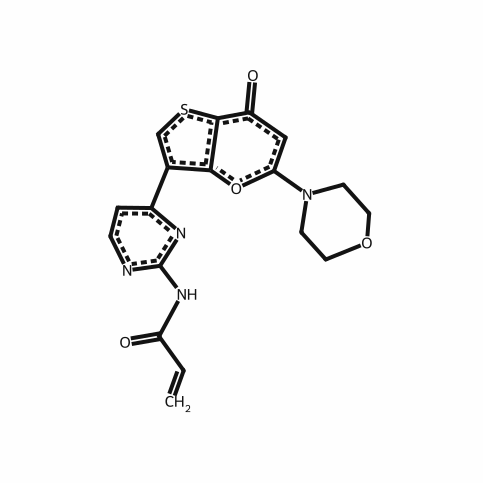 C=CC(=O)Nc1nccc(-c2csc3c(=O)cc(N4CCOCC4)oc23)n1